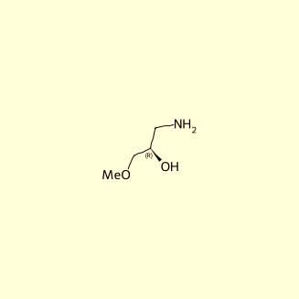 COC[C@H](O)CN